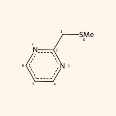 [CH2]SCc1ncccn1